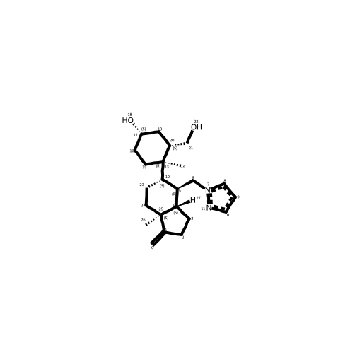 C=C1CC[C@H]2[C@H](Cn3cccn3)[C@@H]([C@@]3(C)CC[C@H](O)C[C@@H]3CO)CC[C@]12C